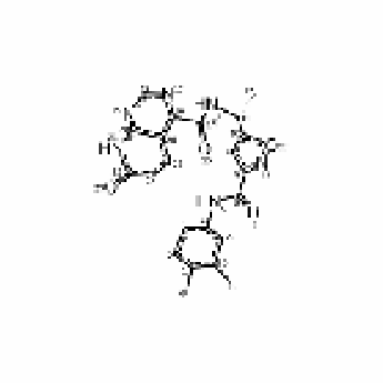 Cc1ccc(NC(=O)c2cc([C@@H](C)NC(=O)c3ncnc4[nH]c(=O)ccc34)on2)cc1C